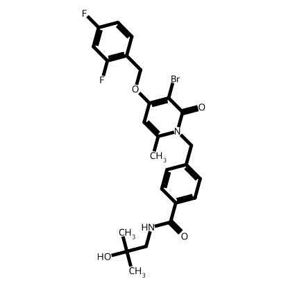 Cc1cc(OCc2ccc(F)cc2F)c(Br)c(=O)n1Cc1ccc(C(=O)NCC(C)(C)O)cc1